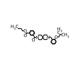 CCCCOC(=O)c1cccc(C(=O)N2CCC3(CCN(Cc4ccccc4OCC(C)C)CC3)CC2)c1